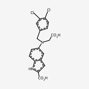 O=C(O)CN(Cc1ccc(Cl)c(Cl)c1)c1ccc2[nH]c(C(=O)O)cc2c1